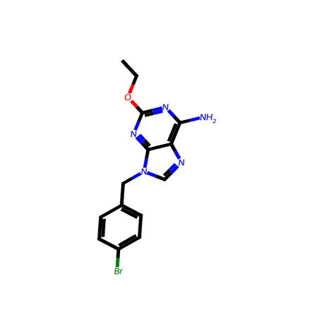 CCOc1nc(N)c2ncn(Cc3ccc(Br)cc3)c2n1